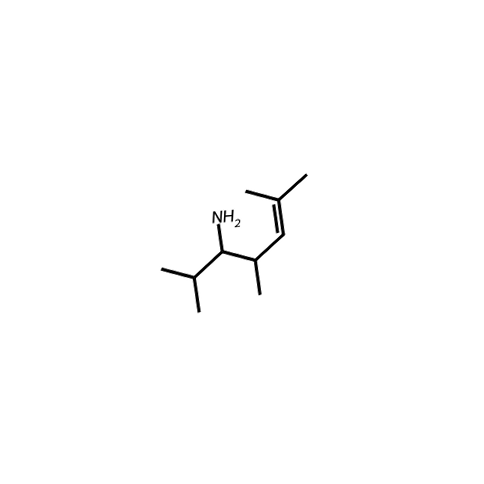 CC(C)=CC(C)C(N)C(C)C